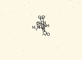 COc1cc2nc(Nc3cn(-c4cc(C)c(C)c(OC)c4)cn3)nc(N3CCC[C@H]3C(N)=O)c2cc1OC